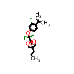 C=C(C)c1ccc(OC(F)(F)C23OCC(CCC)(CO2)CO3)cc1F